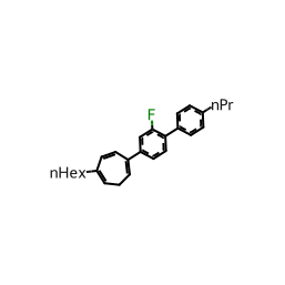 CCCCCCC1=CCC=C(c2ccc(-c3ccc(CCC)cc3)c(F)c2)C=C1